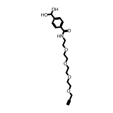 C#CCOCCOCCOCCOCCNC(=O)c1ccc(C(O)O)cc1